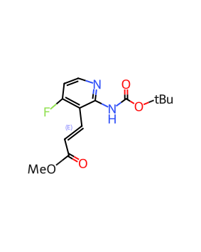 COC(=O)/C=C/c1c(F)ccnc1NC(=O)OC(C)(C)C